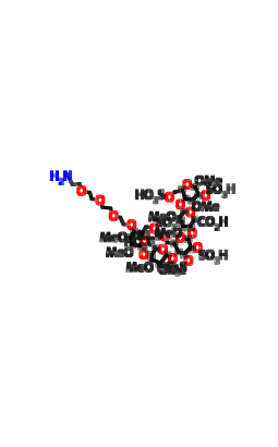 CO[C@H]1O[C@H](COS(=O)(=O)O)[C@@H](O[C@@H]2O[C@H](C(=O)O)[C@@H](O[C@H]3O[C@H](COS(=O)(=O)O)[C@@H](O[C@@H]4O[C@H](C(=O)O)[C@@H](O[C@H]5O[C@H](COS(=O)(=O)O)[C@@H](OCCOCCOCCOCCN)[C@H](OC)[C@H]5OC)[C@H](OC)[C@H]4OC)[C@H](OS(=O)(=O)O)[C@H]3OS(=O)(=O)O)[C@H](OC)[C@H]2OC)[C@H](OC)[C@H]1OS(=O)(=O)O